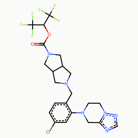 O=C(OC(C(F)(F)F)C(F)(F)F)N1CC2CN(Cc3ccc(Cl)cc3N3CCn4ncnc4C3)CC2C1